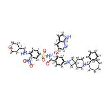 O=C(NS(=O)(=O)c1ccc(NCC2CCOCC2)c([N+](=O)[O-])c1)c1ccc(N2CC3(CCN(C4CCCCc5ccccc54)CC3)C2)cc1Oc1cnc2[nH]ccc2c1